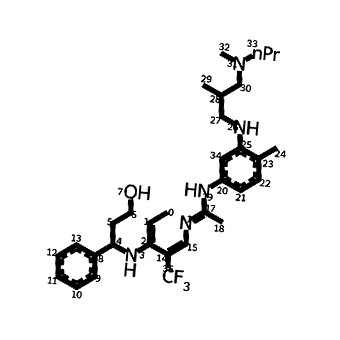 C\C=C(NC(CCO)c1ccccc1)/C(=C\N=C(/C)Nc1ccc(C)c(NCC(C)CN(C)CCC)c1)C(F)(F)F